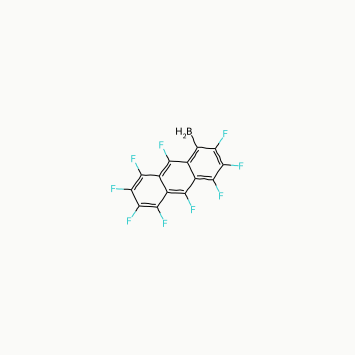 Bc1c(F)c(F)c(F)c2c(F)c3c(F)c(F)c(F)c(F)c3c(F)c12